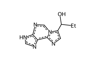 CCC(O)c1cnc2c3nc[nH]c3ncn12